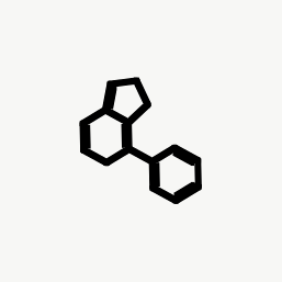 C1=CC2=CCCC2=C(c2ccccc2)C1